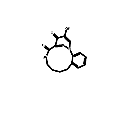 O=C1NCCCCc2ccccc2-n2cc(O)c(=O)c1n2